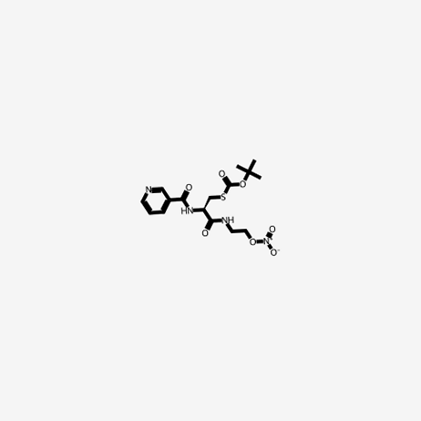 CC(C)(C)OC(=O)SC[C@H](NC(=O)c1cccnc1)C(=O)NCCO[N+](=O)[O-]